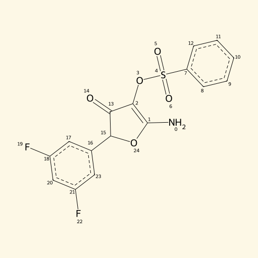 NC1=C(OS(=O)(=O)c2ccccc2)C(=O)C(c2cc(F)cc(F)c2)O1